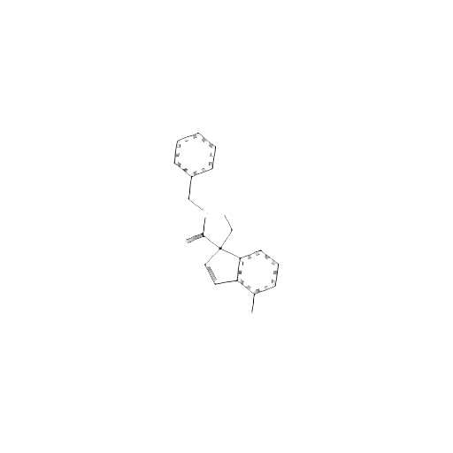 O=C(NCc1ccccc1)C1(CO)C=Cc2c(F)cccc21